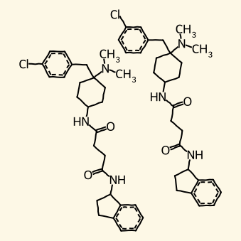 CN(C)C1(Cc2ccc(Cl)cc2)CCC(NC(=O)CCC(=O)NC2CCc3ccccc32)CC1.CN(C)C1(Cc2cccc(Cl)c2)CCC(NC(=O)CCC(=O)NC2CCc3ccccc32)CC1